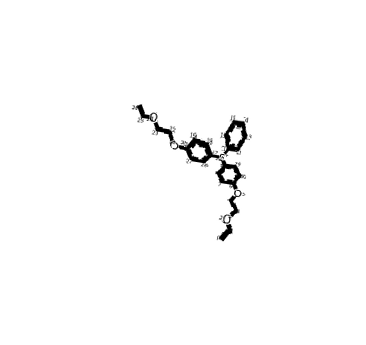 C=COCCOc1ccc([S+](c2ccccc2)c2ccc(OCCOC=C)cc2)cc1